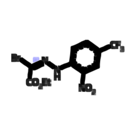 CCOC(=O)/C(Br)=N\Nc1ccc(C(F)(F)F)cc1[N+](=O)[O-]